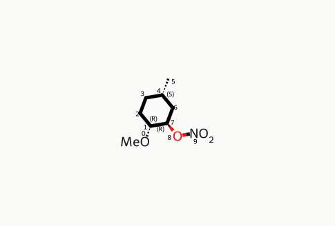 CO[C@@H]1CC[C@H](C)C[C@H]1O[N+](=O)[O-]